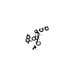 C#Cc1c(F)ccc2cc(O)cc([C@H]3CCc4c(nc(OC[C@]5(C)C[C@@H](F)CN5c5ccc(N6CCOC[C@H]6C)nc5)nc4N4CCCCC(NC(=O)C=C)C4)C3)c12